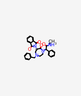 CNC(=O)C(c1ccccc1)N1CCN(Cc2ccccc2)C[C@H](N2C(=O)c3ccccc3C2=O)C1=O